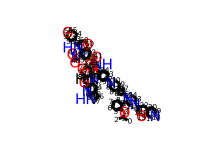 CC(C)Oc1ccccc1[C@@H]1CN([C@@H]2COc3cnccc3C2)CCN1C1CC2(CCN(c3ccc(C(=O)NS(=O)(=O)c4cc5c(c([N+](=O)[O-])c4)N[C@H](C4CCOCC4)CO5)c(N4c5cc6cc[nH]c6nc5O[C@H]5COCC[C@@H]54)c3)CC2)C1